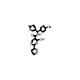 COc1ccc(C(NC(=O)c2cnc(-c3cccnn3)nc2O)c2ccc(C)nc2)cc1